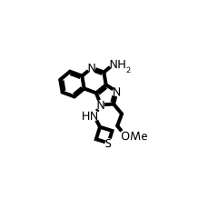 COCCc1nc2c(N)nc3ccccc3c2n1NC1CSC1